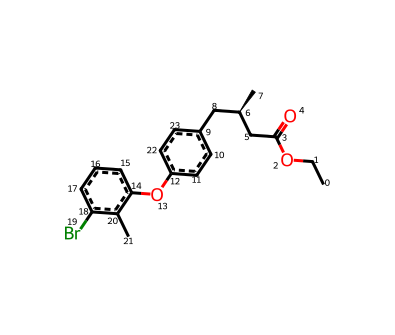 CCOC(=O)C[C@H](C)Cc1ccc(Oc2cccc(Br)c2C)cc1